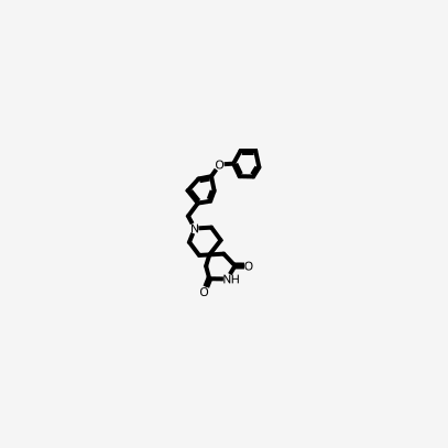 O=C1CC2(CCN(Cc3ccc(Oc4ccccc4)cc3)CC2)CC(=O)N1